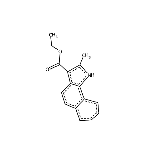 CCOC(=O)c1c(C)[nH]c2c1ccc1ccccc12